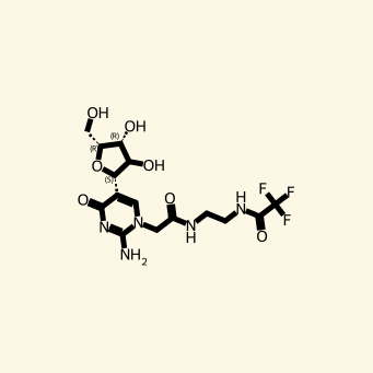 Nc1nc(=O)c([C@@H]2O[C@H](CO)[C@H](O)C2O)cn1CC(=O)NCCNC(=O)C(F)(F)F